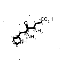 NC(CCC(=O)O)C(=O)[C@H](N)Cc1cnc[nH]1